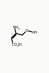 CCCOC/C(N)=C\C(=O)OCC